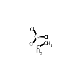 [CH2]C.[Cl][Ga]([Cl])[Cl]